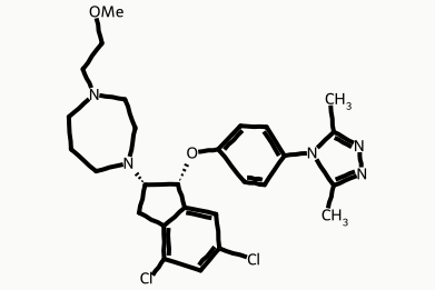 COCCN1CCCN([C@H]2Cc3c(Cl)cc(Cl)cc3[C@H]2Oc2ccc(-n3c(C)nnc3C)cc2)CC1